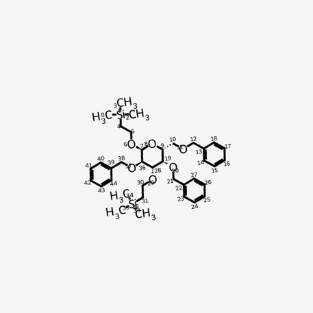 C[Si](C)(C)CCO[C@H]1O[C@H](COCc2ccccc2)[C@H](OCc2ccccc2)[C@H](OCC[Si](C)(C)C)[C@H]1OCc1ccccc1